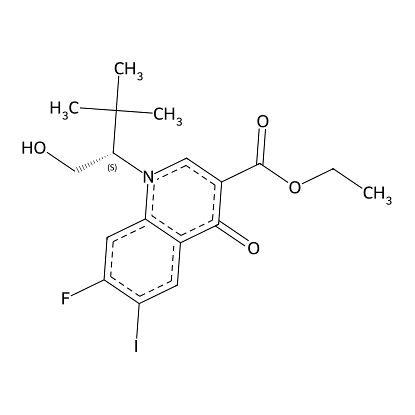 CCOC(=O)c1cn([C@H](CO)C(C)(C)C)c2cc(F)c(I)cc2c1=O